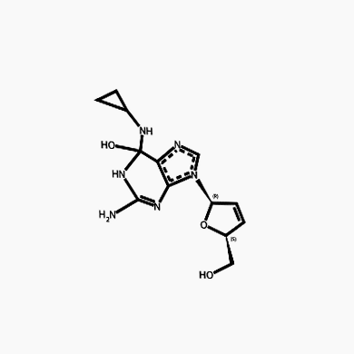 NC1=Nc2c(ncn2[C@H]2C=C[C@@H](CO)O2)C(O)(NC2CC2)N1